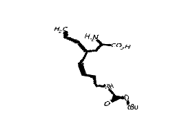 C=C/C=C(\C=C/CCNC(=O)OC(C)(C)C)CC(N)C(=O)O